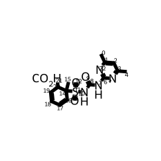 Cc1cc(C)nc(NC(=O)NS(=O)(=O)C2(C)C=CC=CC2C(=O)O)n1